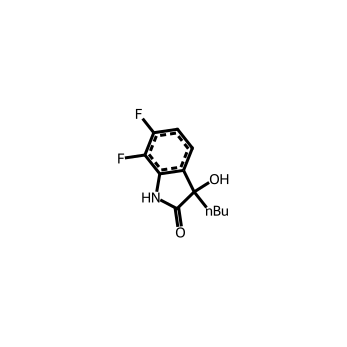 CCCCC1(O)C(=O)Nc2c1ccc(F)c2F